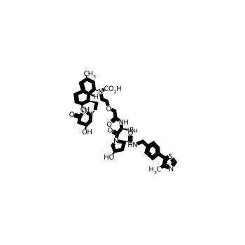 Cc1ncsc1-c1ccc(CNC(=O)[C@@H]2C[C@@H](O)CN2C(=O)[C@@H](NC(=O)COCCN(C(=O)O)[C@H]2C[C@@H](C)C=C3C=C[C@H](C)[C@H](CC[C@@H]4C[C@@H](O)CC(=O)O4)[C@H]32)C(C)(C)C)cc1